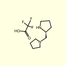 C1CN[C@H](CN2CCCC2)C1.O=C(O)C(F)(F)F